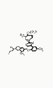 CCC(CCI)N1CCc2cc(COc3ccc(C)cc3-c3csc(N4CC[C@H](C(=O)O)[C@H](C)C4)n3)cc(C)c2C1